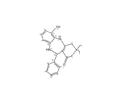 CC1(C)CC(=O)C2=C(C1)Nc1c(O)cccc1NC2c1ccncc1